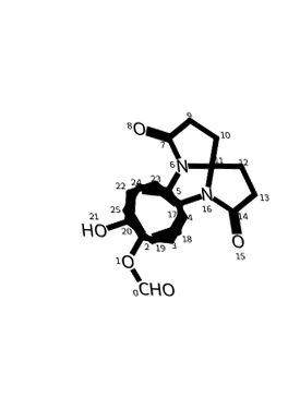 O=COc1ccc(N2C(=O)CCC23CCC(=O)N3c2ccc(O)cc2)cc1